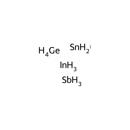 [GeH4].[InH3].[SbH3].[SnH2]